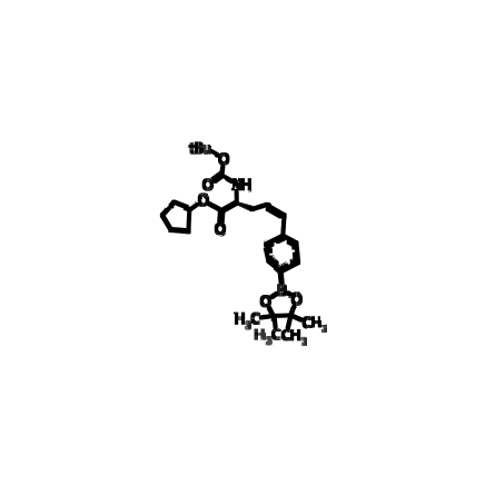 CC(C)(C)OC(=O)N[C@@H](C/C=C\c1ccc(B2OC(C)(C)C(C)(C)O2)cc1)C(=O)OC1CCCC1